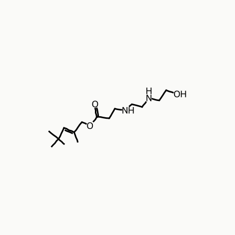 C/C(=C\C(C)(C)C)COC(=O)CCNCCNCCO